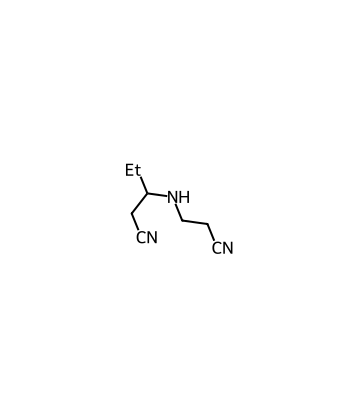 CCC(CC#N)NCCC#N